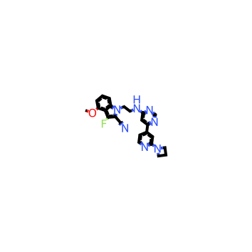 COc1cccc2c1c(F)c(C#N)n2CCNc1cc(-c2ccnc(N3CCC3)c2)ncn1